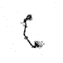 CC(C)(CCOC(=O)NCCOCCOCCNC(=O)c1ccc(C(=O)O)c(-c2c3ccc(=N)c(S(=O)(=O)O)c-3oc3c(S(=O)(=O)O)c(N)ccc23)c1)SSCOCCCCOC(=O)NCC#Cc1cn([C@H]2C[C@H](OCN=[N+]=[N-])[C@@H](COP(=O)(O)OP(=O)(O)OP(=O)(O)O)O2)c(=O)nc1N